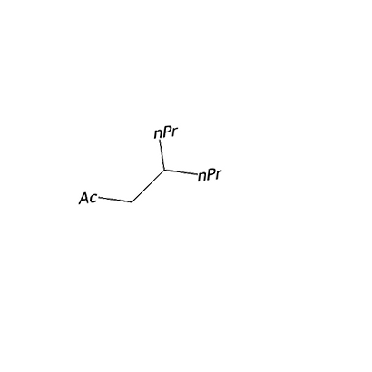 CCCC(CCC)CC(C)=O